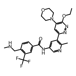 CCOc1nnc(-c2cc(NC(=O)c3ccc(CNC)c(C(F)(F)F)c3)cnc2C)cc1N1CCOCC1